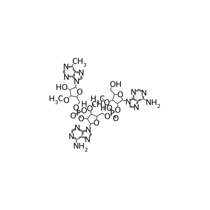 COC1C(COP(=O)(O)OC2C(OC)C(COP(=O)(O)OC3C(OC)C(CO)OC3n3cnc4c(N)ncnc43)OC2n2cnc3c(N)ncnc32)OC(n2cnc3c(C)ncnc32)C1O